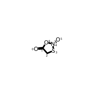 O=C1CS[N+](=O)O1